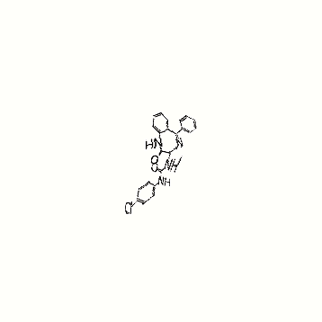 O=C(Nc1ccc(Cl)cc1)NC1N=C(c2ccccc2)c2ccccc2NC1=O